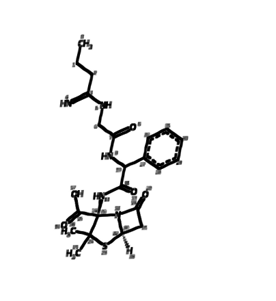 CCCC(=N)NCC(=O)NC(C(=O)N[C@@]1(C(=O)O)N2C(=O)C[C@H]2SC1(C)C)c1ccccc1